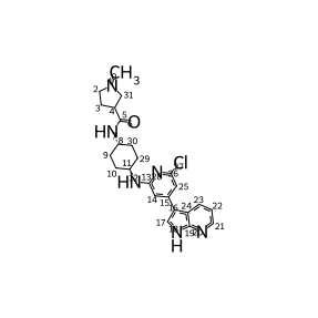 CN1CCC(C(=O)N[C@H]2CC[C@H](Nc3cc(-c4c[nH]c5ncccc45)cc(Cl)n3)CC2)C1